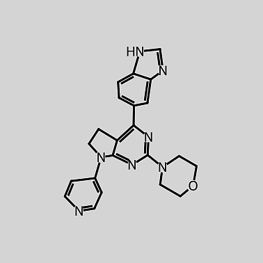 c1cc(N2CCc3c(-c4ccc5[nH]cnc5c4)nc(N4CCOCC4)nc32)ccn1